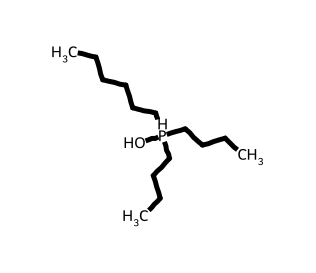 CCCCCC[PH](O)(CCCC)CCCC